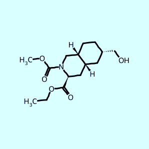 CCOC(=O)[C@@H]1C[C@H]2C[C@@H](CO)CC[C@H]2CN1C(=O)OC